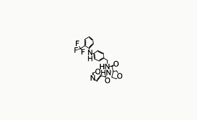 O=C(N[C@@]1(C(=O)NCc2ccc(Nc3ccccc3C(F)(F)F)cc2)CCOC1)c1cnco1